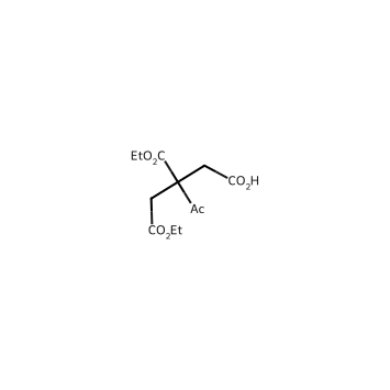 CCOC(=O)CC(CC(=O)O)(C(C)=O)C(=O)OCC